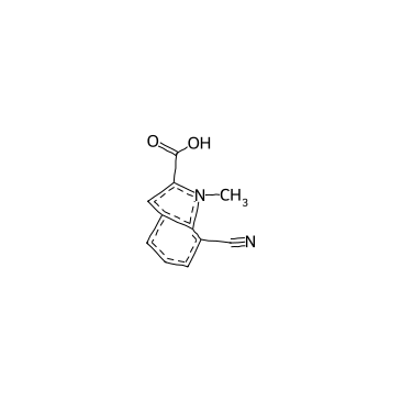 Cn1c(C(=O)O)cc2cccc(C#N)c21